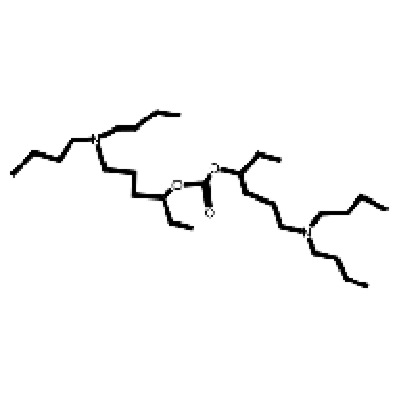 CCCCN(CCCC)CCCC(CC)OC(=O)OC(CC)CCCN(CCCC)CCCC